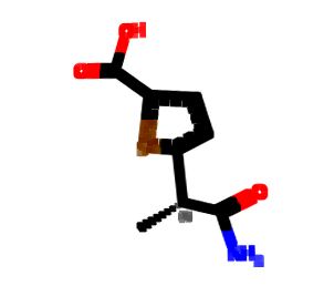 C[C@@H](C(N)=O)c1ccc(C(=O)O)s1